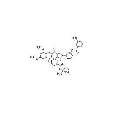 COc1cc(OC)c(CN2CC3(CCCN(C(=O)OC(C)(C)C)C3)c3[nH]c(-c4ccnc(NC(=O)c5cccc(N)c5)c4)cc3C2=O)c(OC)c1